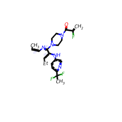 C=C(F)C(=O)N1CCN(C(=N/C=C\C)/C(=C/CC)Nc2ccc(C(C)(F)F)nc2)CC1